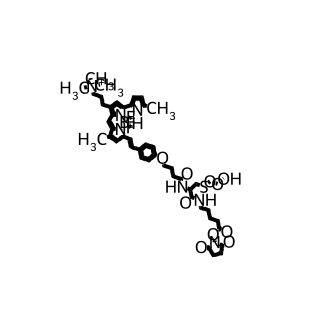 CC1=CC(/C=C/c2ccc(OCCCC(=O)NC(CSOOO)C(=O)NCCCCC(=O)ON3C(=O)CCC3=O)cc2)=[N+]2C1=Cc1c(CCC[N+](C)(C)C)cc(-c3ccc(C)[nH]3)n1[B-]2(F)F